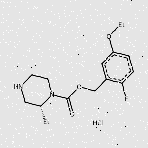 CCOc1ccc(F)c(COC(=O)N2CCNC[C@H]2CC)c1.Cl